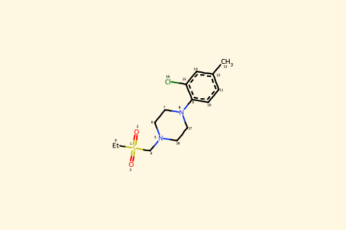 CCS(=O)(=O)CN1CCN(c2ccc(C)cc2Cl)CC1